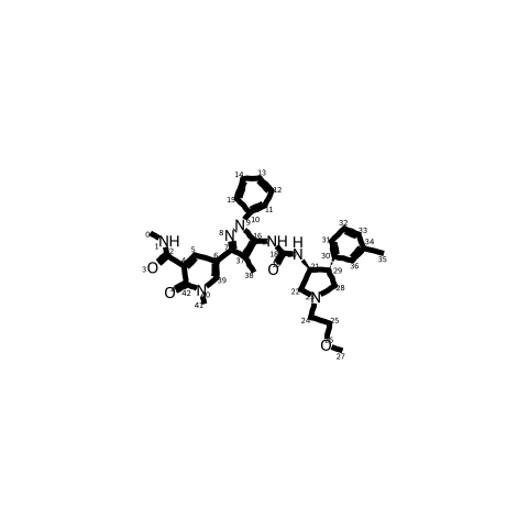 CNC(=O)c1cc(-c2nn(-c3ccccc3)c(NC(=O)N[C@@H]3CN(CCOC)C[C@H]3c3cccc(C)c3)c2C)cn(C)c1=O